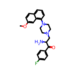 COc1ccc2cccc(N3CCN(CC(N)C(=O)c4ccc(F)cc4)CC3)c2c1